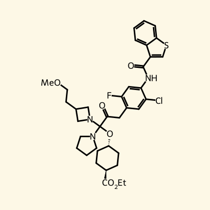 CCOC(=O)[C@H]1CC[C@H](OC(C(=O)Cc2cc(Cl)c(NC(=O)c3csc4ccccc34)cc2F)(N2CCCC2)N2CC(CCOC)C2)CC1